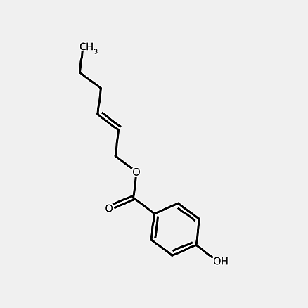 CCCC=CCOC(=O)c1ccc(O)cc1